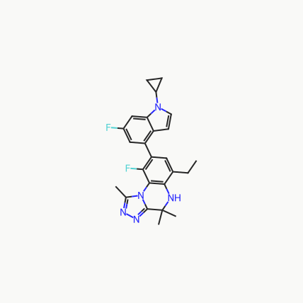 CCc1cc(-c2cc(F)cc3c2ccn3C2CC2)c(F)c2c1NC(C)(C)c1nnc(C)n1-2